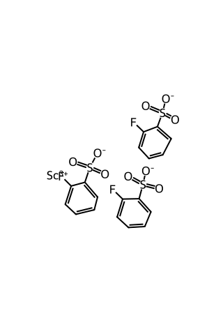 O=S(=O)([O-])c1ccccc1F.O=S(=O)([O-])c1ccccc1F.O=S(=O)([O-])c1ccccc1F.[Sc+3]